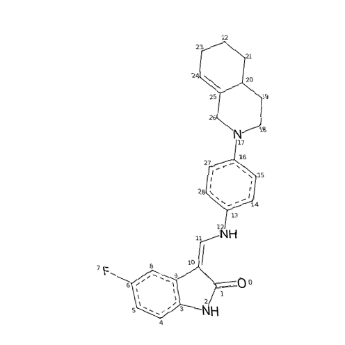 O=C1Nc2ccc(F)cc2C1=CNc1ccc(N2CCC3CCCC=C3C2)cc1